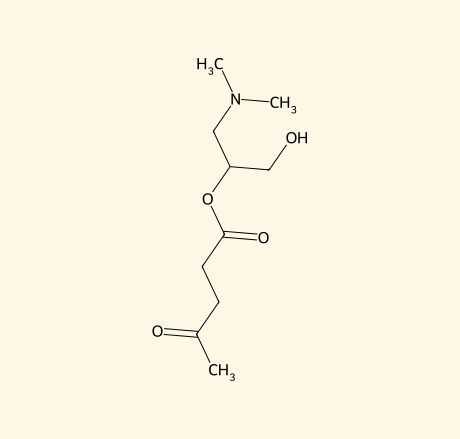 CC(=O)CCC(=O)OC(CO)CN(C)C